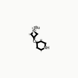 CC(C)(C)N1CC(OC2CCNCC2)C1